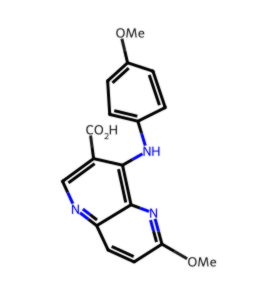 COc1ccc(Nc2c(C(=O)O)cnc3ccc(OC)nc23)cc1